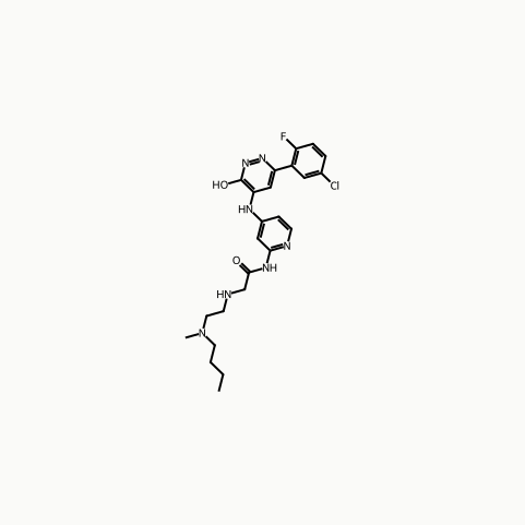 CCCCN(C)CCNCC(=O)Nc1cc(Nc2cc(-c3cc(Cl)ccc3F)nnc2O)ccn1